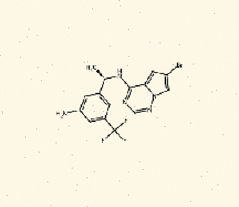 C[C@@H](Nc1ncnn2cc(Br)cc12)c1cc(N)cc(C(F)(F)F)c1